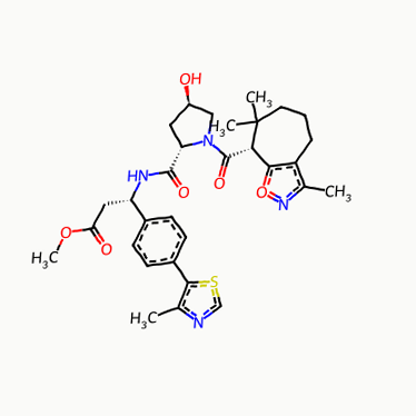 COC(=O)C[C@H](NC(=O)[C@@H]1C[C@@H](O)CN1C(=O)[C@H]1c2onc(C)c2CCCC1(C)C)c1ccc(-c2scnc2C)cc1